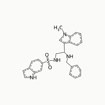 Cn1cc(C(CNS(=O)(=O)c2ccc3cc[nH]c3c2)NCc2ccccc2)c2ccccc21